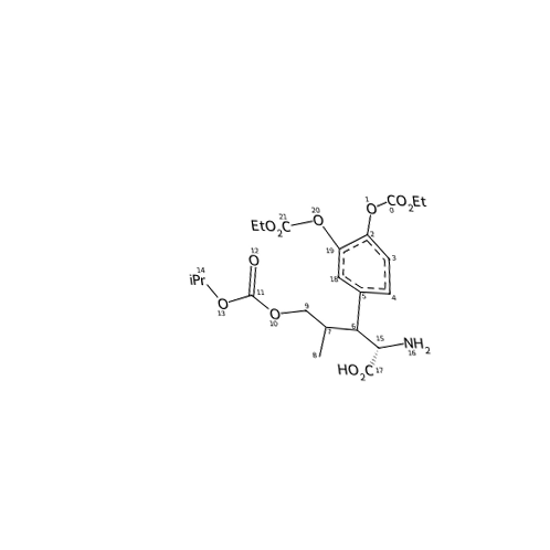 CCOC(=O)Oc1ccc(C(C(C)COC(=O)OC(C)C)[C@H](N)C(=O)O)cc1OC(=O)OCC